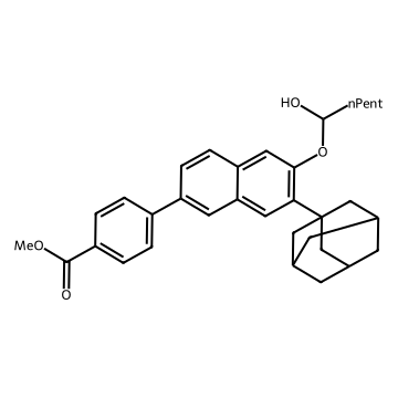 CCCCCC(O)Oc1cc2ccc(-c3ccc(C(=O)OC)cc3)cc2cc1C12CC3CC(CC(C3)C1)C2